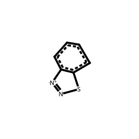 c1ccc2c(c1)[N+]=NS2